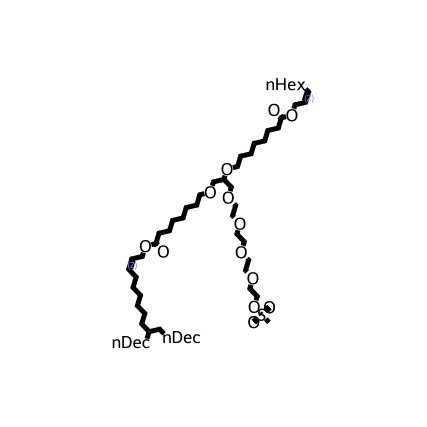 CCCCCC/C=C\COC(=O)CCCCCCCOC(COCCCCCCCC(=O)OC/C=C\CCCCCCC(CCCCCCCCCC)CCCCCCCCCCC)COCCOCCOCCOCCOS(C)(=O)=O